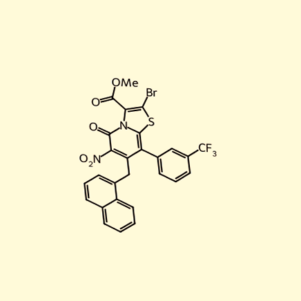 COC(=O)c1c(Br)sc2c(-c3cccc(C(F)(F)F)c3)c(Cc3cccc4ccccc34)c([N+](=O)[O-])c(=O)n12